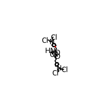 CC(=O)NC(Cc1ccc(N(CCCl)CCCl)cc1)C(=O)OC(=O)CCCc1ccc(N(CCCl)CCCl)cc1